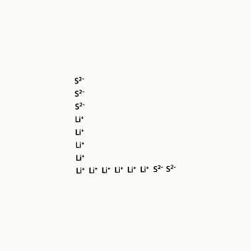 [Li+].[Li+].[Li+].[Li+].[Li+].[Li+].[Li+].[Li+].[Li+].[Li+].[S-2].[S-2].[S-2].[S-2].[S-2]